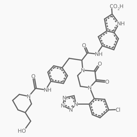 O=C(O)c1cc2cc(NC(=O)C(Cc3ccc(NC(=O)N4CCCC(CO)C4)cc3)N3CCN(c4cc(Cl)ccc4-n4cnnn4)C(=O)C3=O)ccc2[nH]1